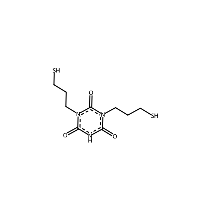 O=c1[nH]c(=O)n(CCCS)c(=O)n1CCCS